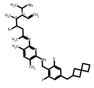 C=C[C@H](C(C)CCCC)[C@H](C)C(CC)C/C(C)=N/c1nc(NCc2c(F)cc(CC3CC4(CCC4)C3)cc2F)c(C)cc1C